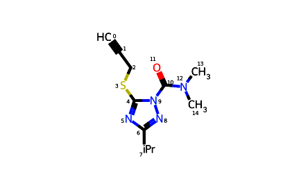 C#CCSc1nc(C(C)C)nn1C(=O)N(C)C